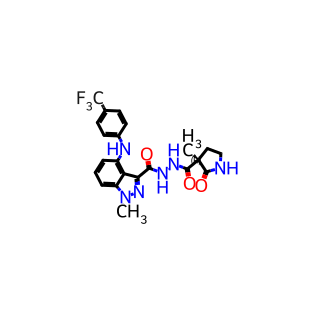 Cn1nc(C(=O)NNC(=O)[C@]2(C)CCNC2=O)c2c(Nc3ccc(C(F)(F)F)cc3)cccc21